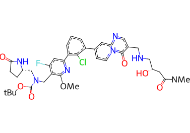 CNC(=O)C[C@H](O)CNCc1cnc2cc(-c3cccc(-c4cc(F)c(CN(C[C@@H]5CCC(=O)N5)C(=O)OC(C)(C)C)c(OC)n4)c3Cl)ccn2c1=O